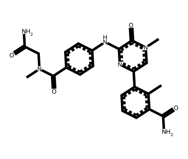 Cc1c(C(N)=O)cccc1-c1cn(C)c(=O)c(Nc2ccc(C(=O)N(C)CC(N)=O)cc2)n1